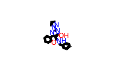 O=C(NCc1cc[c]cc1)c1c(O)nc(-n2cccn2)nc1C1CCCCC1